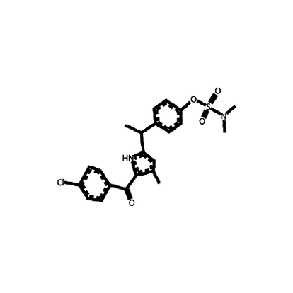 Cc1cc(C(C)c2ccc(OS(=O)(=O)N(C)C)cc2)[nH]c1C(=O)c1ccc(Cl)cc1